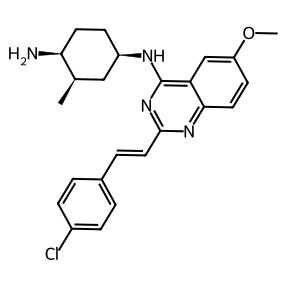 COc1ccc2nc(C=Cc3ccc(Cl)cc3)nc(N[C@@H]3CC[C@H](N)[C@H](C)C3)c2c1